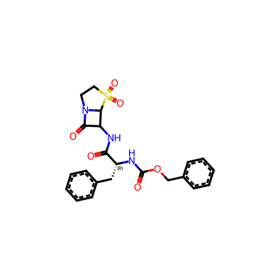 O=C(N[C@H](Cc1ccccc1)C(=O)NC1C(=O)N2CCS(=O)(=O)C12)OCc1ccccc1